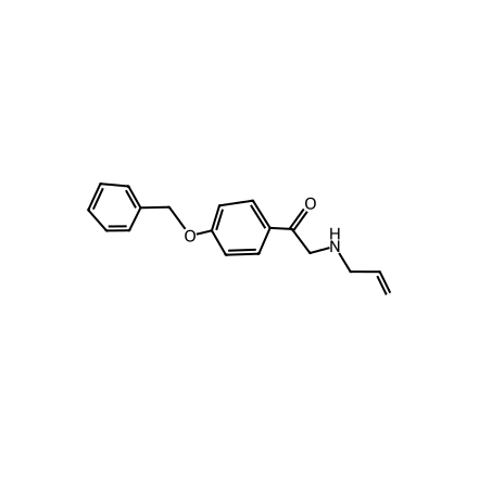 C=CCNCC(=O)c1ccc(OCc2ccccc2)cc1